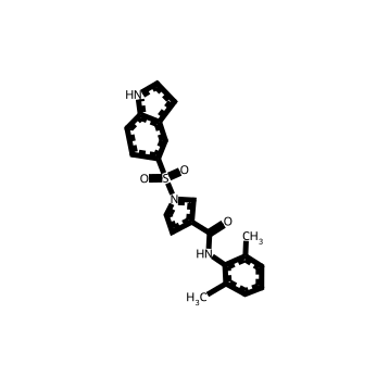 Cc1cccc(C)c1NC(=O)c1ccn(S(=O)(=O)c2ccc3[nH]ccc3c2)c1